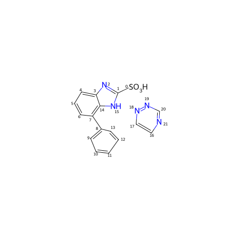 O=S(=O)(O)c1nc2cccc(-c3ccccc3)c2[nH]1.c1cnncn1